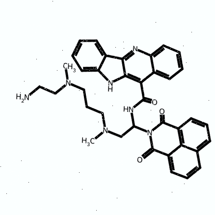 CN(CCN)CCCN(C)CC(NC(=O)c1c2ccccc2nc2c1[nH]c1ccccc12)N1C(=O)c2cccc3cccc(c23)C1=O